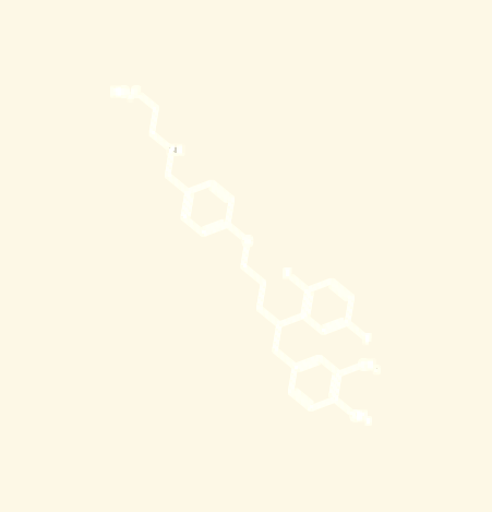 Cc1ccc(CC(CCCOc2ccc(CNCCC(=O)O)cc2)c2cc(F)ccc2F)cc1C